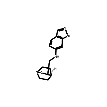 c1cc2cn[nH]c2cc1NC[C@@H]1CN2CCC1CC2